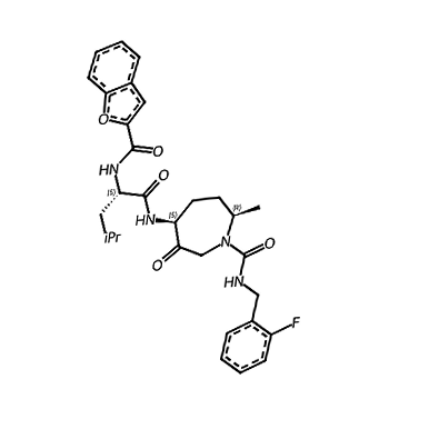 CC(C)C[C@H](NC(=O)c1cc2ccccc2o1)C(=O)N[C@H]1CC[C@@H](C)N(C(=O)NCc2ccccc2F)CC1=O